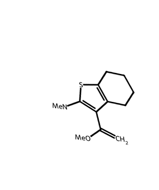 C=C(OC)c1c(NC)sc2c1CCCC2